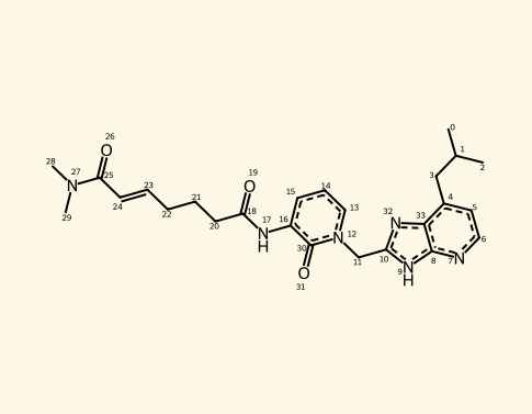 CC(C)Cc1ccnc2[nH]c(Cn3cccc(NC(=O)CCC/C=C/C(=O)N(C)C)c3=O)nc12